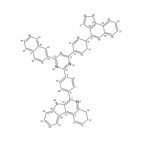 C1=Cc2c(nc(-c3ccc(-c4nc(C5=CCC(c6cc7ccccc7c7c6C=CC7)C=C5)cc(-c5ccc6ccccc6c5)n4)cc3)c3sc4ccccc4c23)CC1